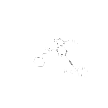 Cc1cnc2c(NCCN3CCCCC3)nc(C#C[Si](C)(C)C)cn12